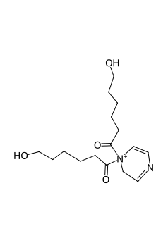 O=C(CCCCCO)[N+]1(C(=O)CCCCCO)C=CN=CC1